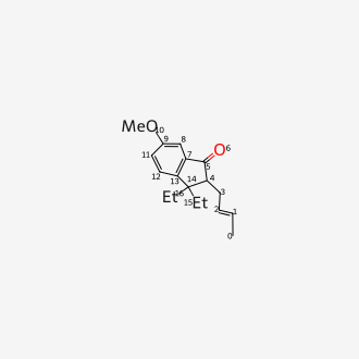 CC=CCC1C(=O)c2cc(OC)ccc2C1(CC)CC